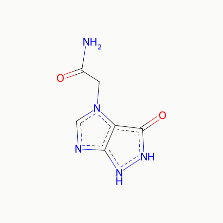 NC(=O)Cn1cnc2[nH][nH]c(=O)c21